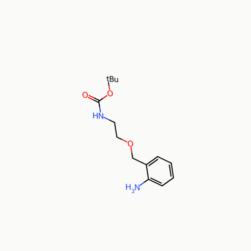 CC(C)(C)OC(=O)NCCOCc1ccccc1N